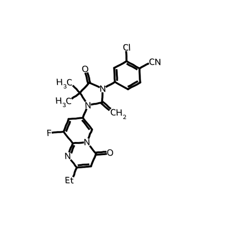 C=C1N(c2ccc(C#N)c(Cl)c2)C(=O)C(C)(C)N1c1cc(F)c2nc(CC)cc(=O)n2c1